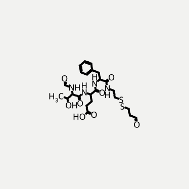 CC(O)C(NC=O)C(=O)NC(CCC(=O)O)C(=O)NC(Cc1ccccc1)C(=O)NCCSSCCC=O